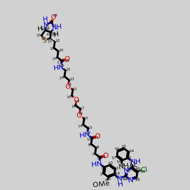 COc1cc(NC(=O)CCCC(=O)NCCCOCCOCCOCCCNC(=O)CCCC[C@H]2SC[C@H]3NC(=O)N[C@H]32)ccc1Nc1ncc(Cl)c(Nc2ccccc2NC(C)=O)n1